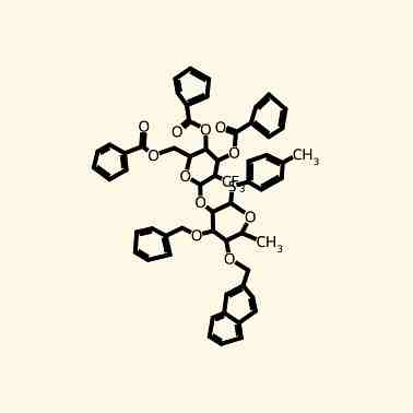 Cc1ccc(SC2OC(C)C(OCc3ccc4ccccc4c3)C(OCc3ccccc3)C2OC2OC(COC(=O)c3ccccc3)C(OC(=O)c3ccccc3)C(OC(=O)c3ccccc3)C2C(F)(F)F)cc1